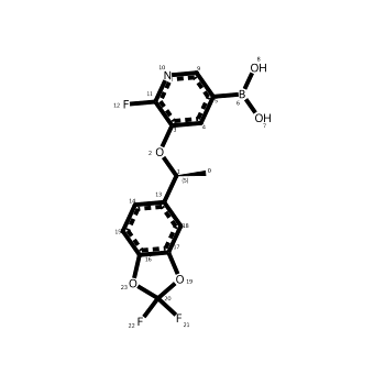 C[C@H](Oc1cc(B(O)O)cnc1F)c1ccc2c(c1)OC(F)(F)O2